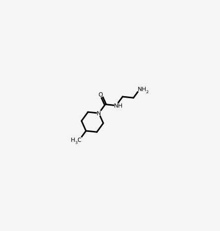 CC1CCN(C(=O)NCCN)CC1